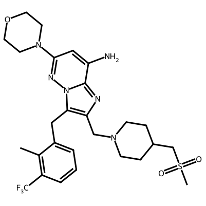 Cc1c(Cc2c(CN3CCC(CS(C)(=O)=O)CC3)nc3c(N)cc(N4CCOCC4)nn23)cccc1C(F)(F)F